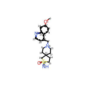 COc1ccc2c(CN3CCC4(CC3)CCS(=N)(=O)C4)ccnc2c1